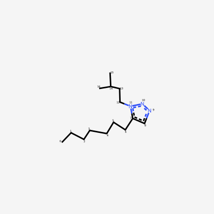 CCCCCCCc1cnnn1CCC(C)C